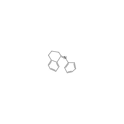 c1ccc(/N=C2/CCCc3ccccc32)cc1